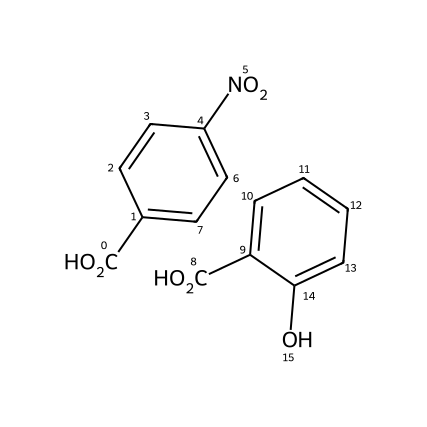 O=C(O)c1ccc([N+](=O)[O-])cc1.O=C(O)c1ccccc1O